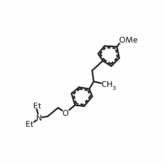 CCN(CC)CCOc1ccc(C(C)Cc2ccc(OC)cc2)cc1